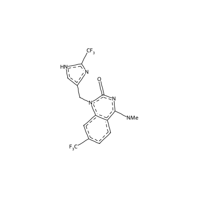 CNc1nc(=O)n(Cc2c[nH]c(C(F)(F)F)n2)c2cc(C(F)(F)F)ccc12